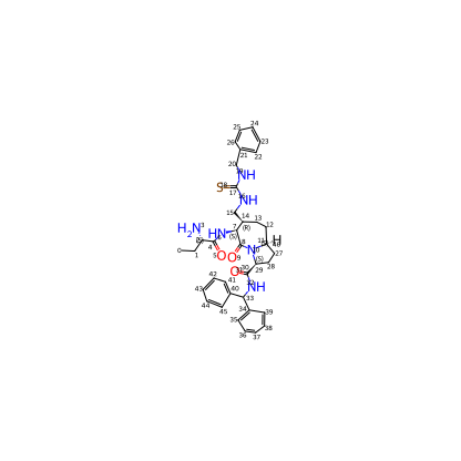 CC[C@H](N)C(=O)N[C@@H]1C(=O)N2[C@@H](CC[C@@H]1CNC(=S)NCc1ccccc1)CC[C@H]2C(=O)NC(c1ccccc1)c1ccccc1